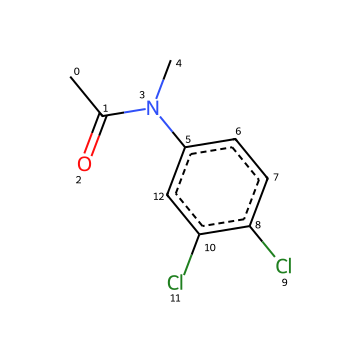 CC(=O)N(C)c1ccc(Cl)c(Cl)c1